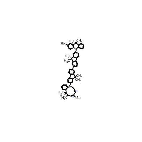 C=C1/C=C(C(C)(C)C)\C=C/CN(c2ccc3c(c2)C(C)(C)c2cc(-c4ccc5c(c4)C(C)(C)c4cc(N6c7ccccc7C(C)(C)c7cc(C(C)(C)C)ccc76)ccc4-5)ccc2-3)c2ccccc2C1(C)C